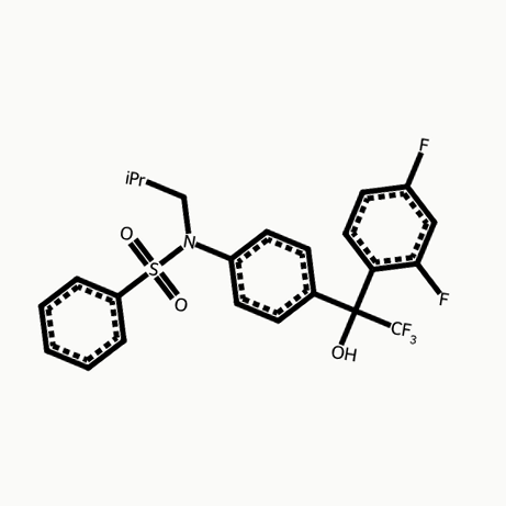 CC(C)CN(c1ccc(C(O)(c2ccc(F)cc2F)C(F)(F)F)cc1)S(=O)(=O)c1ccccc1